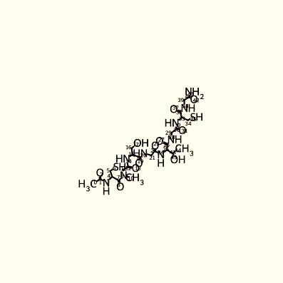 CC(=O)NC(CS)C(=O)N(C)CC(=O)NC(CO)C(=O)NCC(=O)NC(C(=O)NCC(=O)NC(CS)C(=O)NCC(N)=O)C(C)O